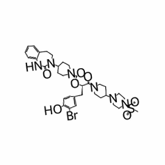 CS(=O)(=O)N1CCN(C2CCN(C(=O)[C@@H](Cc3ccc(O)c(Br)c3)OC(=O)N3CCC(N4CCc5ccccc5NC4=O)CC3)CC2)CC1